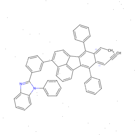 C#C/C=c1/c(-c2ccccc2)c2c(c(-c3ccccc3)/c1=C/C)-c1ccc(-c3cccc(-c4nc5ccccc5n4-c4ccccc4)c3)c3cccc-2c13